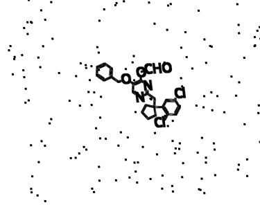 O=COc1nc(CC2(c3cc(Cl)ccc3Cl)CCCC2)ncc1OCc1ccccc1